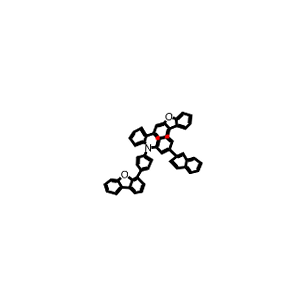 c1cc(-c2ccc3ccccc3c2)cc(N(c2ccc(-c3cccc4c3oc3ccccc34)cc2)c2ccccc2-c2ccc3c(c2)oc2ccccc23)c1